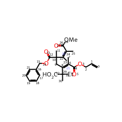 C=CCOC(=O)/C(C)=C(/CC(C)(C(=O)OCc1ccccc1)/C(C)=C(/C)C(=O)OC)C(C)(CC)C(=O)O